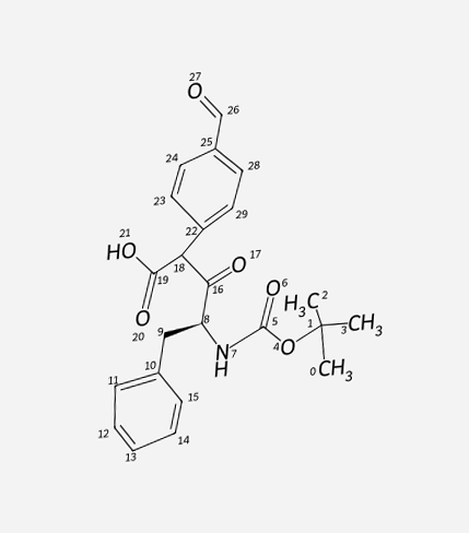 CC(C)(C)OC(=O)N[C@@H](Cc1ccccc1)C(=O)C(C(=O)O)c1ccc(C=O)cc1